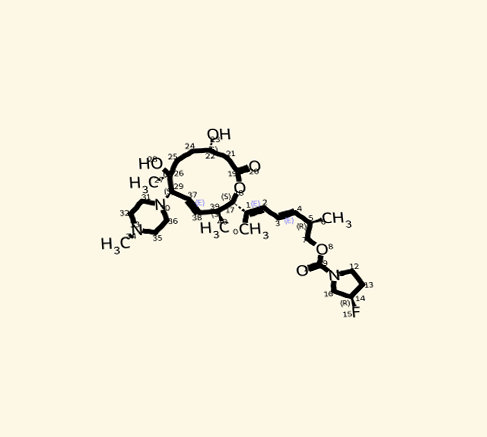 C/C(=C\C=C\[C@@H](C)COC(=O)N1CC[C@@H](F)C1)[C@H]1OC(=O)C[C@@H](O)CC[C@](C)(O)[C@@H](N2CCN(C)CC2)/C=C/[C@@H]1C